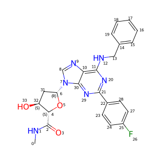 CNC(=O)[C@H]1O[C@@H](n2cnc3c(NCc4ccccc4)nc(-c4ccc(F)cc4)nc32)C[C@@H]1O